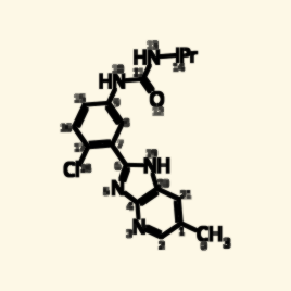 Cc1cnc2nc(-c3cc(NC(=O)NC(C)C)ccc3Cl)[nH]c2c1